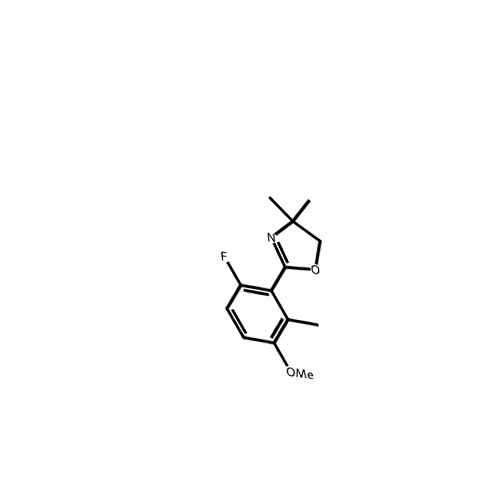 COc1ccc(F)c(C2=NC(C)(C)CO2)c1C